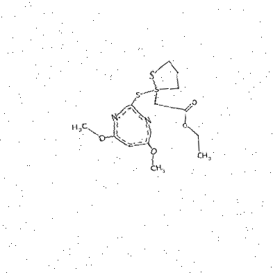 CCOC(=O)CS1(Sc2nc(OC)cc(OC)n2)CCCS1